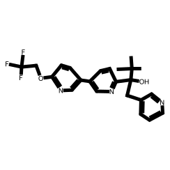 CC(C)(C)C(O)(Cc1cccnc1)c1ccc(-c2ccc(OCC(F)(F)F)nc2)cn1